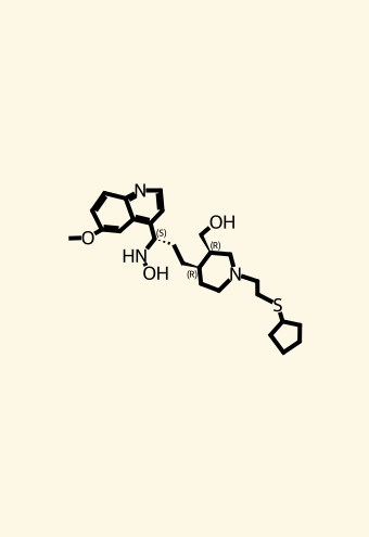 COc1ccc2nccc([C@H](CC[C@@H]3CCN(CCSC4CCCC4)C[C@@H]3CO)NO)c2c1